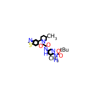 Cc1cc(NC(=O)C(=O)N2CC(C)CCC2c2ccc3scnc3c2)cnc1NC(=O)OC(C)(C)C